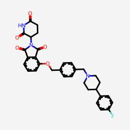 O=C1CCC(N2C(=O)c3cccc(OCc4ccc(CN5CCC(c6ccc(F)cc6)CC5)cc4)c3C2=O)C(=O)N1